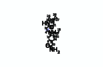 CNC(/C=C\NC1=CC=C(CC(N)=O)CC12CC(C)C2)OCC1C2(CC2)C12CC2